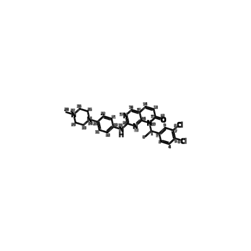 CC(c1ccc(Cl)c(Cl)c1)n1c(=O)ccc2cnc(Nc3ccc(N4CCN(C)CC4)cc3)nc21